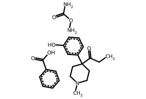 CCC(=O)C1(c2cccc(O)c2)CCN(C)CC1.NOC(N)=O.O=C(O)c1ccccc1